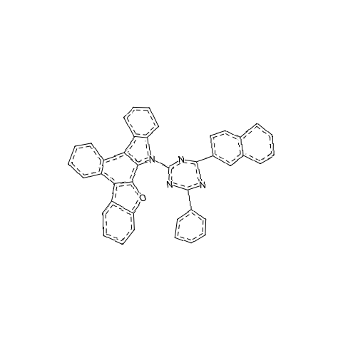 c1ccc(-c2nc(-c3ccc4ccccc4c3)nc(-n3c4ccccc4c4c5ccccc5c5c6ccccc6oc5c43)n2)cc1